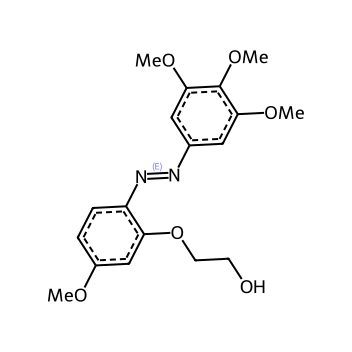 COc1ccc(/N=N/c2cc(OC)c(OC)c(OC)c2)c(OCCO)c1